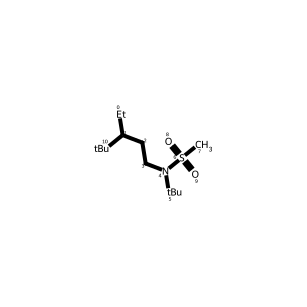 CCC(CCN(C(C)(C)C)S(C)(=O)=O)C(C)(C)C